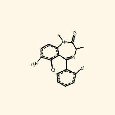 CC1N=C(c2ccccc2Cl)c2c(ccc(N)c2Cl)N(C)C1=O